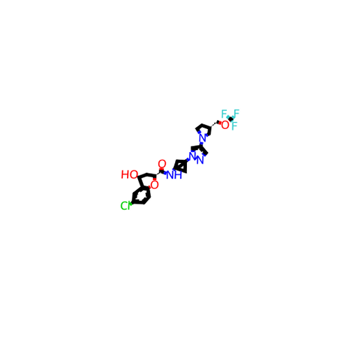 O=C(NC12CC(n3cc(N4CC[C@H](COC(F)(F)F)C4)cn3)(C1)C2)[C@H]1C[C@@H](O)c2cc(Cl)ccc2O1